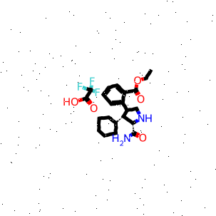 CCOC(=O)c1ccccc1C1CN[C@H](C(N)=O)[C@@H]1C1CCCCC1.O=C(O)C(F)(F)F